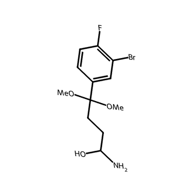 COC(CCC(N)O)(OC)c1ccc(F)c(Br)c1